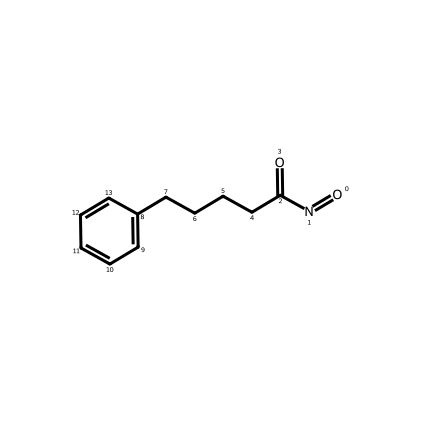 O=NC(=O)CCCCc1ccccc1